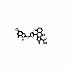 Cc1cc(Cl)cc2nc(Sc3ccc(C4C5=C(CCCC5=O)Nc5c4c[nH]c5C(=O)O)o3)[nH]c12